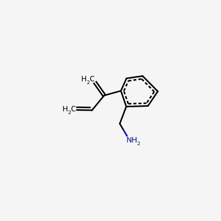 C=CC(=C)c1ccccc1CN